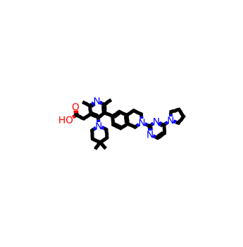 Cc1nc(C)c(-c2ccc3c(c2)CCN(c2nccc(N4CCCC4)n2)C3)c(N2CCC(C)(C)CC2)c1CC(=O)O